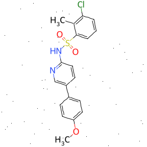 COc1ccc(-c2ccc(NS(=O)(=O)c3cccc(Cl)c3C)nc2)cc1